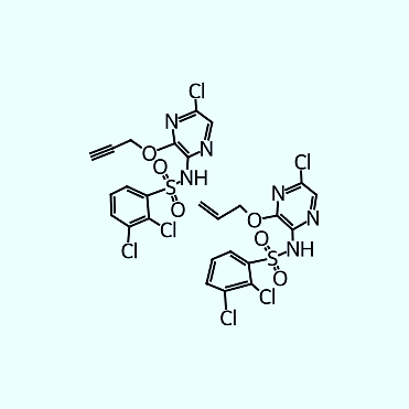 C#CCOc1nc(Cl)cnc1NS(=O)(=O)c1cccc(Cl)c1Cl.C=CCOc1nc(Cl)cnc1NS(=O)(=O)c1cccc(Cl)c1Cl